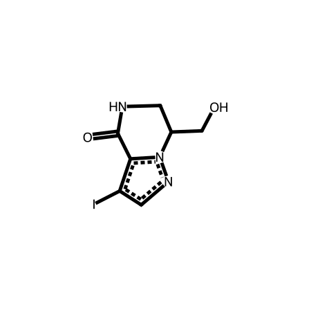 O=C1NCC(CO)n2ncc(I)c21